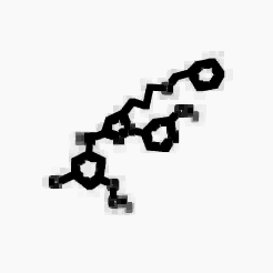 COc1cc(Cl)cc(Nc2cc(CCCOCc3ccccc3)n(-c3ccnc(C)c3)n2)c1